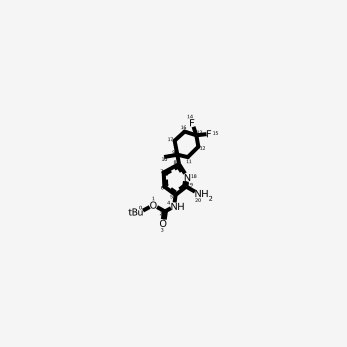 CC(C)(C)OC(=O)Nc1ccc(C2(C)CCC(F)(F)CC2)nc1N